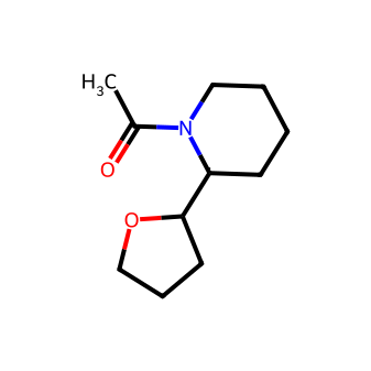 CC(=O)N1CCCC[C]1C1CCCO1